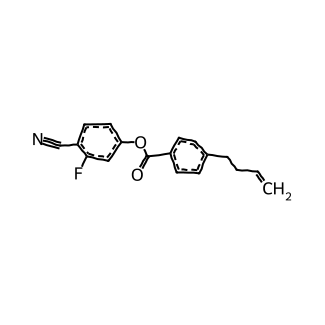 C=CCCc1ccc(C(=O)Oc2ccc(C#N)c(F)c2)cc1